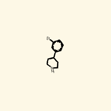 CCc1cccc(C2CCNCC2)c1